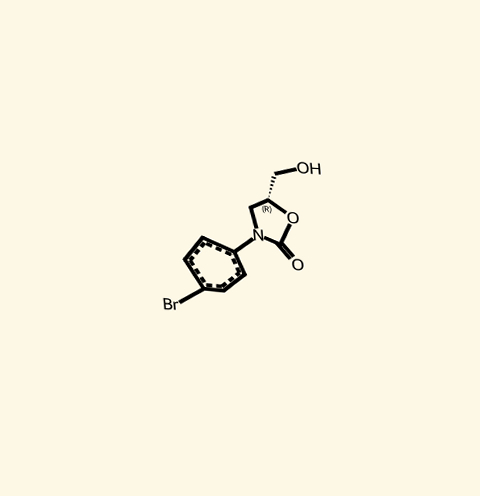 O=C1O[C@@H](CO)CN1c1ccc(Br)cc1